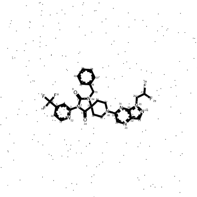 O=C1N(c2cc(C(F)(F)F)ccn2)C(=O)C2(CCN(c3cnc4cnn(CC(F)F)c4n3)CC2)N1Cc1ccccc1